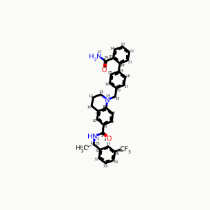 C[C@H](NC(=O)c1ccc2c(c1)CCCN2Cc1ccc(-c2ccccc2C(N)=O)cc1)c1cccc(C(F)(F)F)c1